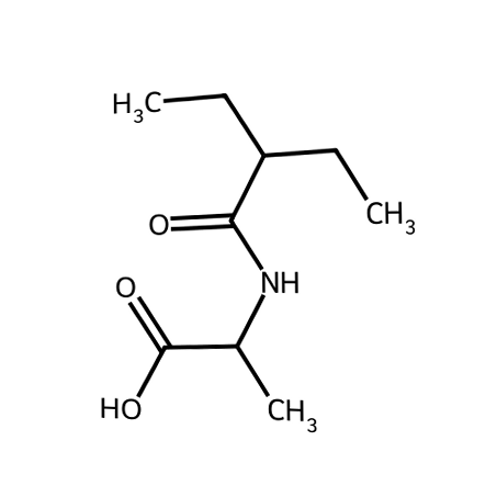 CCC(CC)C(=O)NC(C)C(=O)O